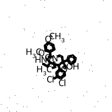 CCC1(C2CCNC2)C(c2ccc(Cl)c(Cl)c2)C(C(=O)O)(c2ccccc2)CCN1C(=O)c1ccc(OC)cc1OC